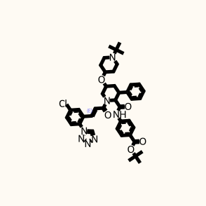 CC(C)(C)OC(=O)c1ccc(NC(=O)C2C(c3ccccc3)CC(OC3CCN(C(C)(C)C)CC3)CN2C(=O)/C=C/c2cc(Cl)ccc2-n2cnnn2)cc1